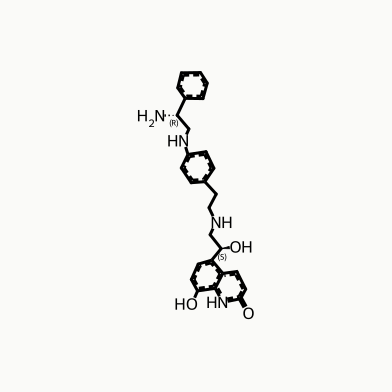 N[C@@H](CNc1ccc(CCNC[C@@H](O)c2ccc(O)c3[nH]c(=O)ccc23)cc1)c1ccccc1